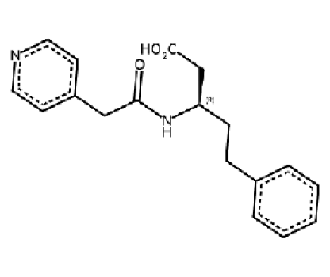 O=C(O)C[C@@H](CCc1ccccc1)NC(=O)Cc1ccncc1